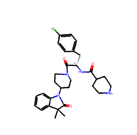 CC1(C)C(=O)N(C2CCN(C(=O)[C@H](Cc3ccc(Cl)cc3)NC(=O)C3CCNCC3)CC2)c2ccccc21